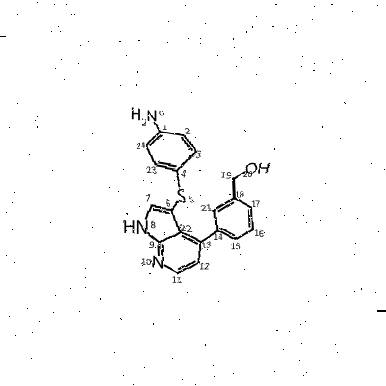 Nc1ccc(Sc2c[nH]c3nccc(-c4cccc(CO)c4)c23)cc1